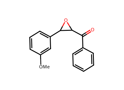 COc1cccc(C2OC2C(=O)c2ccccc2)c1